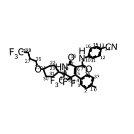 Cc1ccc(C2=C(C(=O)Nc3ccc(C#N)cc3)C(=O)NC(C3CCC(OCCCC(F)(F)F)CC3)(C(F)(F)F)C2(F)F)cc1